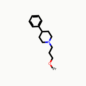 CC(C)OCCCN1CCC(c2ccccc2)CC1